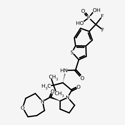 CC(C)(C)[C@H](NC(=O)c1cc2cc(C(F)(F)P(=O)(O)O)ccc2s1)C(=O)N1CCC[C@H]1C(=O)N1CCCOCC1